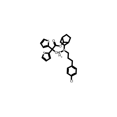 CN(CCCc1ccc(Cl)cc1)C1CC2CCC1C2OC(=O)C(O)(c1cccs1)c1cccs1